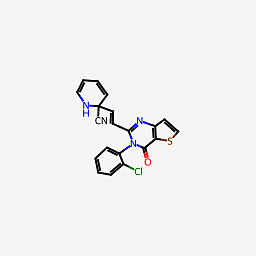 N#CC1(C=Cc2nc3ccsc3c(=O)n2-c2ccccc2Cl)C=CC=CN1